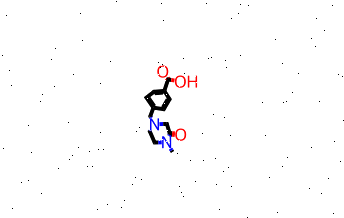 CN1CCN(Cc2ccc(C(=O)O)cc2)CC1=O